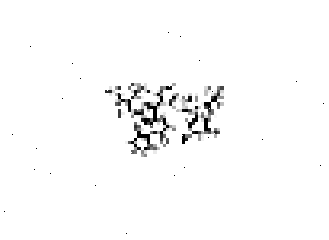 Cc1ccc(NC(=O)C(OC(=O)C(F)(F)F)c2cc(F)cc(F)c2)cc1-c1nc(NC(CO)CO)nc2c1ccc(=O)n2-c1c(F)cccc1F